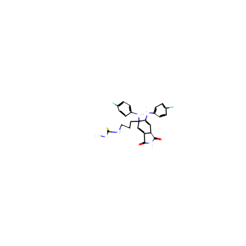 CCNC(=S)NCCCC1(Nc2ccc(F)cc2)C=C2C(=O)NC(=O)C2C=C1Nc1ccc(F)cc1